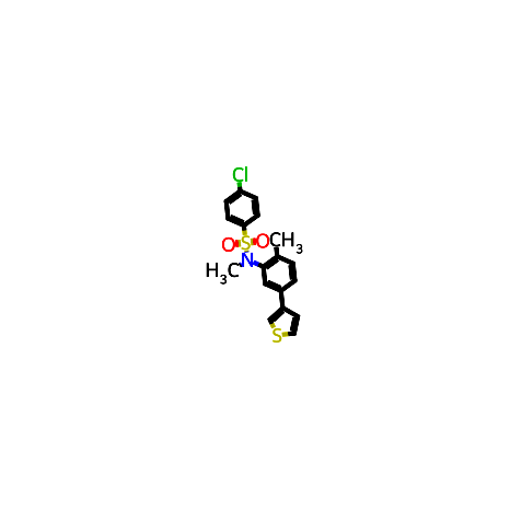 Cc1ccc(-c2ccsc2)cc1N(C)S(=O)(=O)c1ccc(Cl)cc1